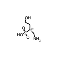 NC[C@H](CCO)S(=O)(=O)O